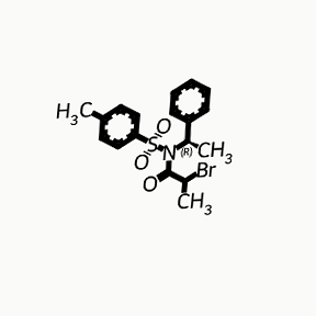 Cc1ccc(S(=O)(=O)N(C(=O)C(C)Br)[C@H](C)c2ccccc2)cc1